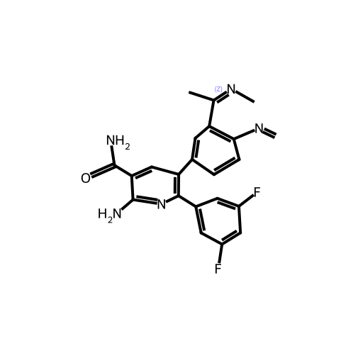 C=Nc1ccc(-c2cc(C(N)=O)c(N)nc2-c2cc(F)cc(F)c2)cc1/C(C)=N\C